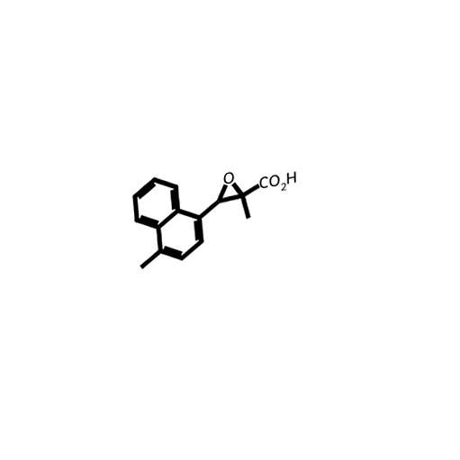 Cc1ccc(C2OC2(C)C(=O)O)c2ccccc12